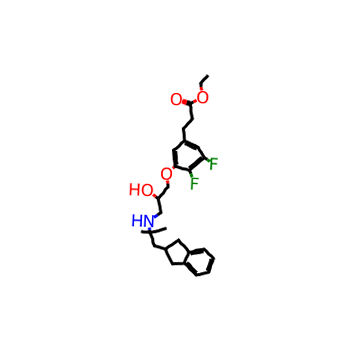 CCOC(=O)CCc1cc(F)c(F)c(OCC(O)CNC(C)(C)CC2Cc3ccccc3C2)c1